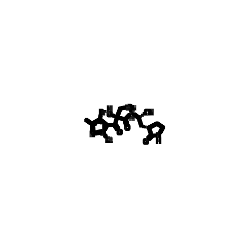 CCn1nc(C)c(Br)c1C(=O)[C@](O)(CC(C)(C)C)C(=O)N[C@H](C#N)C[C@@H]1CCNC1=O